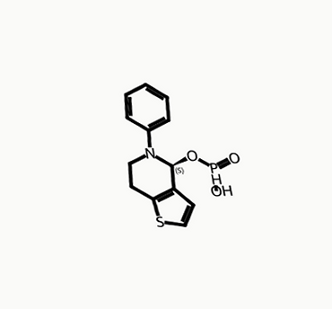 O=[PH](O)O[C@H]1c2ccsc2CCN1c1ccccc1